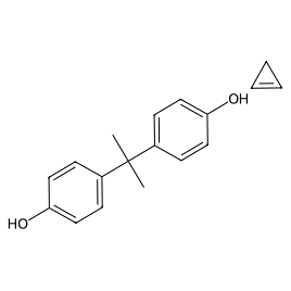 C1=CC1.CC(C)(c1ccc(O)cc1)c1ccc(O)cc1